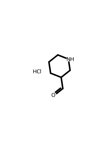 Cl.O=CC1CCCNC1